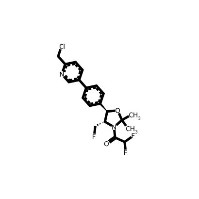 CC1(C)O[C@H](c2ccc(-c3ccc(CCl)nc3)cc2)[C@@H](CF)N1C(=O)C(F)F